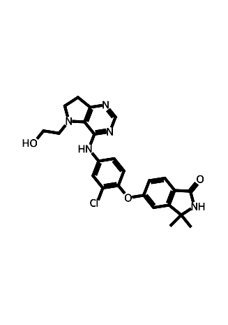 CC1(C)NC(=O)c2ccc(Oc3ccc(Nc4ncnc5c4N(CCO)CC5)cc3Cl)cc21